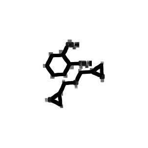 C(OCC1CO1)C1CO1.O=C(O)C1CCCCC1C(=O)O